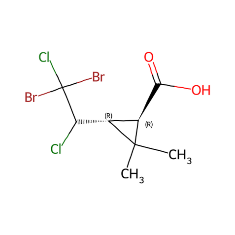 CC1(C)[C@H](C(=O)O)[C@H]1C(Cl)C(Cl)(Br)Br